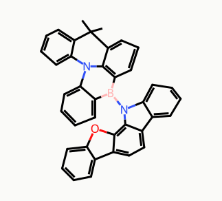 CC1(C)c2ccccc2N2c3ccccc3B(n3c4ccccc4c4ccc5c6ccccc6oc5c43)c3cccc1c32